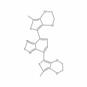 Cc1sc(-c2ccc(-c3sc(C)c4c3OCCO4)c3nsnc23)c2c1OCCO2